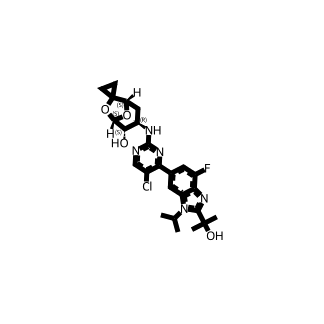 CC(C)n1c(C(C)(C)O)nc2c(F)cc(-c3nc(N[C@@H]4C[C@@H]5O[C@@H](OC56CC6)[C@H]4O)ncc3Cl)cc21